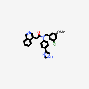 COc1cc(Cl)cc(CN(C(=O)Cc2cncc3ccccc23)c2ccc(-c3c[nH]cn3)cc2)c1